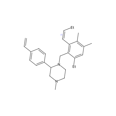 C=Cc1ccc(C2CN(C)CCN2Cc2c(CC)cc(C)c(C)c2/C=C\CC)cc1